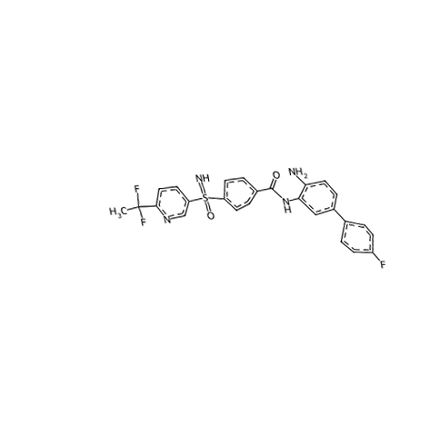 CC(F)(F)c1ccc(S(=N)(=O)c2ccc(C(=O)Nc3cc(-c4ccc(F)cc4)ccc3N)cc2)cn1